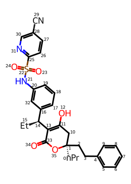 CCC[C@@]1(CCc2ccccc2)CC(O)=C([C@@H](CC)c2cccc(NS(=O)(=O)c3ccc(C#N)cn3)c2)C(=O)O1